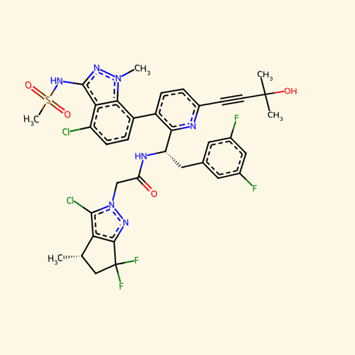 C[C@H]1CC(F)(F)c2nn(CC(=O)N[C@@H](Cc3cc(F)cc(F)c3)c3nc(C#CC(C)(C)O)ccc3-c3ccc(Cl)c4c(NS(C)(=O)=O)nn(C)c34)c(Cl)c21